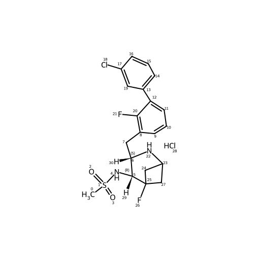 CS(=O)(=O)N[C@@H]1[C@H](Cc2cccc(-c3cccc(Cl)c3)c2F)NC2CC1(F)C2.Cl